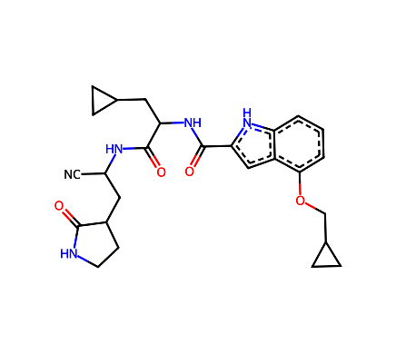 N#CC(CC1CCNC1=O)NC(=O)C(CC1CC1)NC(=O)c1cc2c(OCC3CC3)cccc2[nH]1